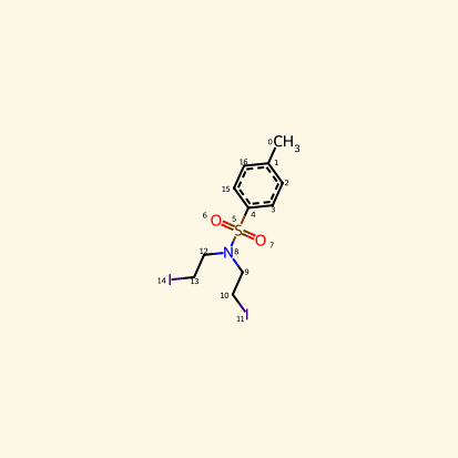 Cc1ccc(S(=O)(=O)N(CCI)CCI)cc1